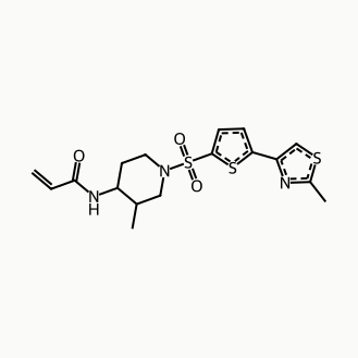 C=CC(=O)NC1CCN(S(=O)(=O)c2ccc(-c3csc(C)n3)s2)CC1C